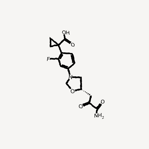 NC(=O)C(=O)C[C@H]1CN(c2ccc(C3(C(=O)O)CC3)c(F)c2)CO1